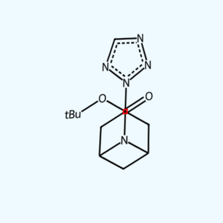 CC(C)(C)OC(=O)N1C2CC1CC(n1ncnn1)C2